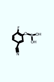 N#Cc1ccc(F)c(OB(O)O)c1